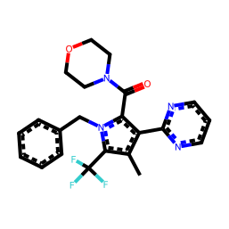 Cc1c(-c2ncccn2)c(C(=O)N2CCOCC2)n(Cc2ccccc2)c1C(F)(F)F